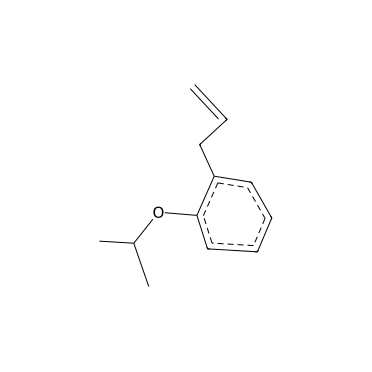 C=CCc1ccccc1OC(C)C